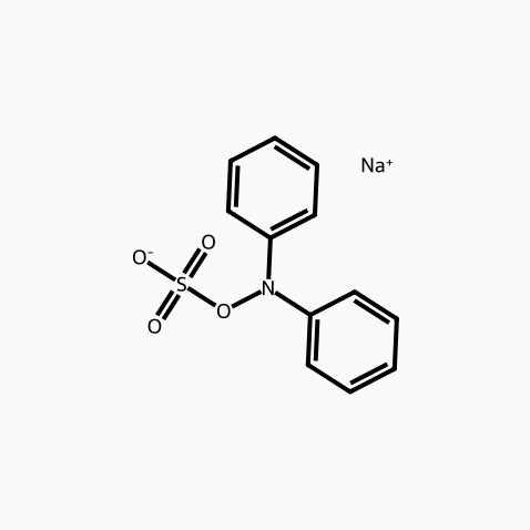 O=S(=O)([O-])ON(c1ccccc1)c1ccccc1.[Na+]